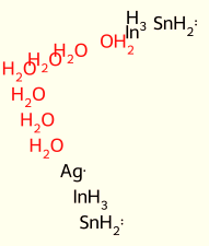 O.O.O.O.O.O.O.[Ag].[InH3].[InH3].[SnH2].[SnH2]